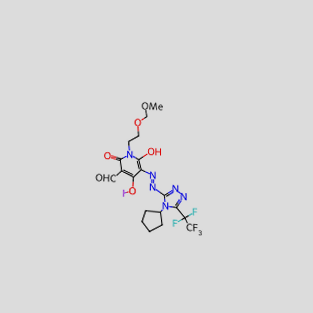 COCOCCn1c(O)c(N=Nc2nnc(C(F)(F)C(F)(F)F)n2C2CCCC2)c(OI)c(C=O)c1=O